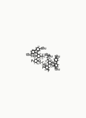 Cc1cc(F)cc(-c2cc(C(C)(C)CC(C)(C)C)cc(-n3c4cc(C(C)(C)C)ccc4c4ccc(C(C)(C)C)cc43)c2O)c1OCCCOc1c(F)cc(F)cc1-c1cc(C(C)(C)CC(C)(C)C)cc(-n2c3cc(C(C)(C)C)ccc3c3ccc(C(C)(C)C)cc32)c1O